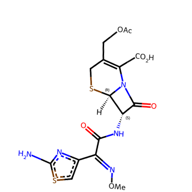 CON=C(C(=O)N[C@H]1C(=O)N2C(C(=O)O)=C(COC(C)=O)CS[C@H]12)c1csc(N)n1